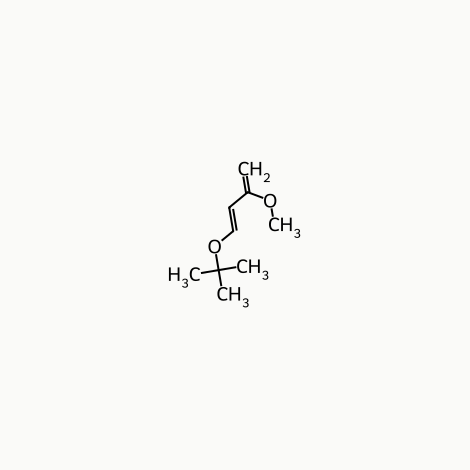 C=C(C=COC(C)(C)C)OC